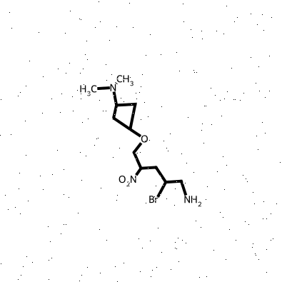 CN(C)C1CC(OCC(CC(Br)CN)[N+](=O)[O-])C1